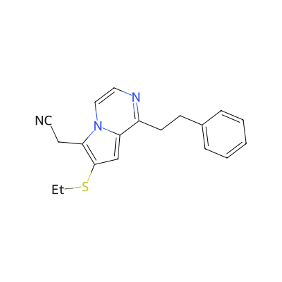 CCSc1cc2c(CCc3ccccc3)nccn2c1CC#N